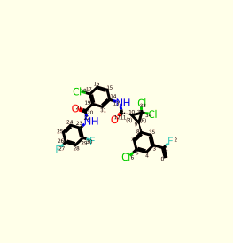 C=C(F)c1cc(Cl)cc([C@H]2[C@H](C(=O)Nc3ccc(Cl)c(C(=O)Nc4ccc(F)cc4F)c3)C2(Cl)Cl)c1